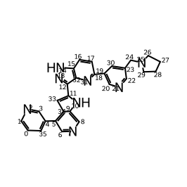 c1cncc(-c2cncc3[nH]c(-c4n[nH]c5ccc(-c6cncc(CN7CCCC7)c6)nc45)cc23)c1